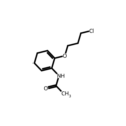 CC(=O)NC1=C[CH]CC=C1OCCCCl